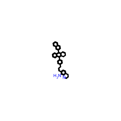 Nc1c(/C=C\Cc2ccc(-c3c4c(c(-c5ccc6ccccc6c5)c5ccccc35)C=CCC4)cc2)ccc2c1N=CCC2